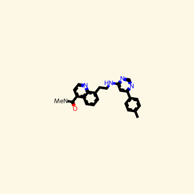 CNC(=O)c1ccnc2c(CCNc3cc(-c4ccc(C)cc4)ncn3)cccc12